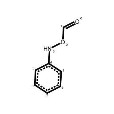 O=[C]ONc1ccccc1